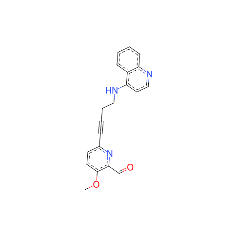 COc1ccc(C#CCCNc2ccnc3ccccc23)nc1C=O